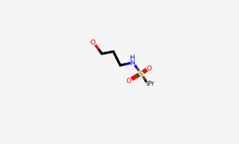 CC(C)S(=O)(=O)NCCC[O]